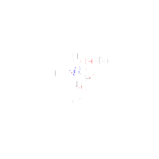 CC(C)(C)OC(=O)N1[C@@H]2C[C@@H]3C[C@@H]1[C@@H]([C@H]2O)N(C(=O)CC(F)(F)F)C3